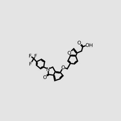 O=C(O)Cc1coc2cc(COc3cccc4c3CN(c3ccc(C(F)(F)F)cc3)C4=O)ccc12